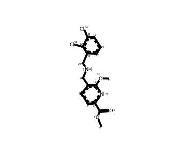 COC(=O)c1ccc(CNCc2cccc(Cl)c2Cl)c(OC)n1